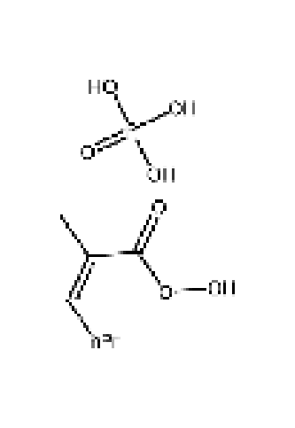 CCCC=C(C)C(=O)OO.O=P(O)(O)O